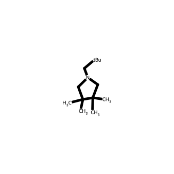 CC(C)(C)CN1CC(C)(C)C(C)(C)C1